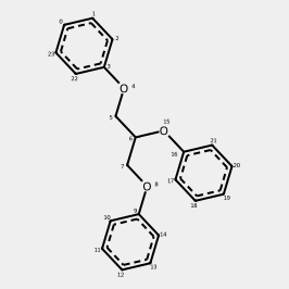 c1ccc(OC[C](COc2ccccc2)Oc2ccccc2)cc1